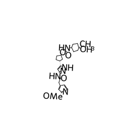 COc1cc(CC(=O)Nc2cc([C@@H]3CC[C@H](OC(=O)NC4CCC(C)(O)CC4)C3)[nH]n2)ccn1